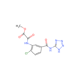 COC(=O)C(=O)Nc1cc(C(=O)Nc2nnn[nH]2)ccc1Cl